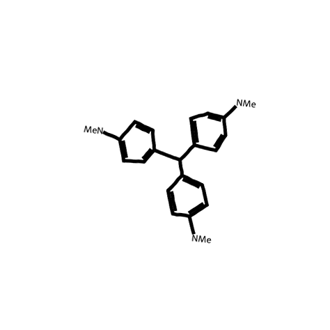 CNc1ccc(C(c2ccc(NC)cc2)c2ccc(NC)cc2)cc1